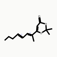 CCC/C=C/C=C(\C)C1=CC(=O)OC(C)(C)O1